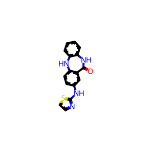 O=C1Nc2ccccc2Nc2ccc(Nc3nccs3)cc21